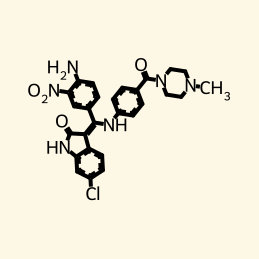 CN1CCN(C(=O)c2ccc(NC(=C3C(=O)Nc4cc(Cl)ccc43)c3ccc(N)c([N+](=O)[O-])c3)cc2)CC1